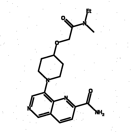 CCN(C)C(=O)COC1CCN(c2cncc3ccc(C(N)=O)nc23)CC1